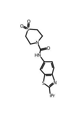 CC(C)c1nc2ccc(NC(=O)N3CCS(=O)(=O)CC3)cc2s1